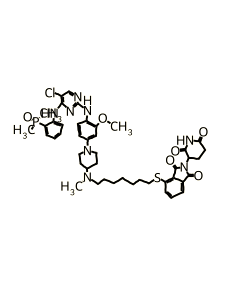 COc1cc(N2CCC(N(C)CCCCCCCSc3cccc4c3C(=O)N(C3CCC(=O)NC3=O)C4=O)CC2)ccc1Nc1ncc(Cl)c(Nc2ccccc2P(C)(C)=O)n1